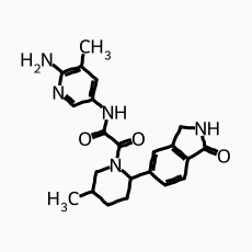 Cc1cc(NC(=O)C(=O)N2CC(C)CCC2c2ccc3c(c2)CNC3=O)cnc1N